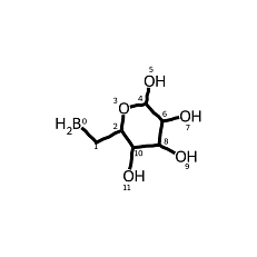 BCC1OC(O)C(O)C(O)C1O